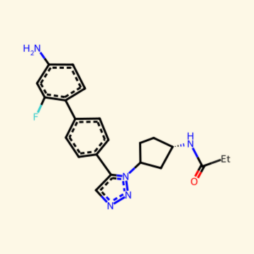 CCC(=O)N[C@H]1CCC(n2nncc2-c2ccc(-c3ccc(N)cc3F)cc2)C1